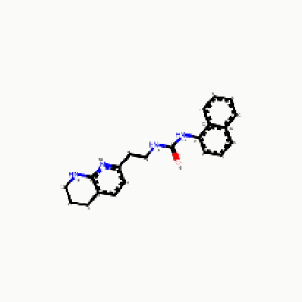 O=C(NCCc1ccc2c(n1)NCCC2)Nc1cccc2ccccc12